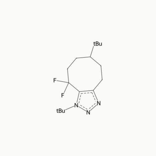 CC(C)(C)C1CCc2nnn(C(C)(C)C)c2C(F)(F)CC1